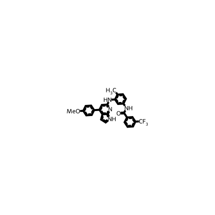 COc1ccc(-c2cc(Nc3cc(NC(=O)c4cccc(C(F)(F)F)c4)ccc3C)nc3[nH]ccc23)cc1